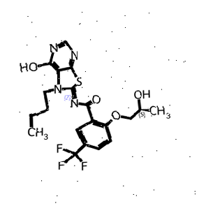 CCCCn1/c(=N/C(=O)c2cc(C(F)(F)F)ccc2OC[C@H](C)O)sc2ncnc(O)c21